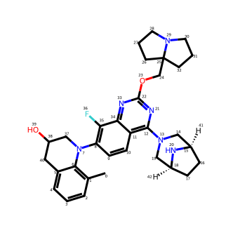 Cc1cccc2c1N(c1ccc3c(N4C[C@H]5CC[C@@H](C4)N5)nc(OCC45CCCN4CCC5)nc3c1F)CC(O)C2